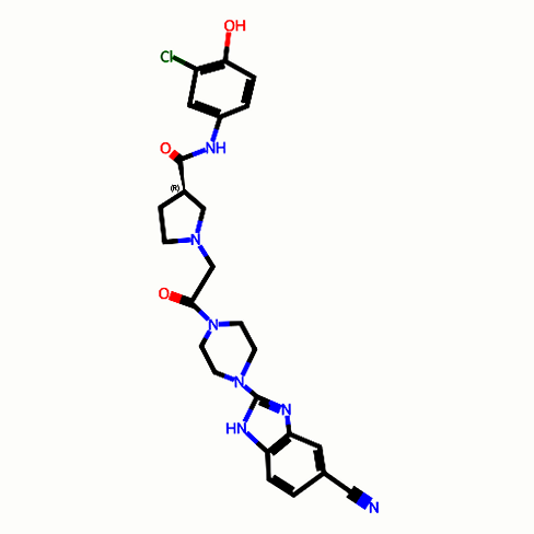 N#Cc1ccc2[nH]c(N3CCN(C(=O)CN4CC[C@@H](C(=O)Nc5ccc(O)c(Cl)c5)C4)CC3)nc2c1